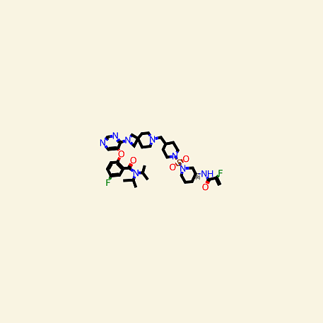 C=C(F)C(=O)N[C@@H]1CCCN(S(=O)(=O)N2CCC(CN3CCC4(CC3)CN(c3ncncc3Oc3ccc(F)cc3C(=O)N(C(C)C)C(C)C)C4)CC2)C1